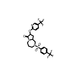 O=C1C(Oc2ccc(C(F)(F)F)cn2)CC2CN(S(=O)(=O)c3ccc(C(F)(F)F)cc3)CCCN12